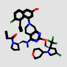 C#Cc1c(F)ccc2cc(O)cc(N3CCc4c(nc(OC[C@]5(C(F)(F)F)C[C@@H](F)CN5C5CCOCC5)nc4N(C)C[C@@H]4CCCN4C(=O)C=C)C3)c12